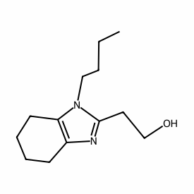 CCCCn1c(CCO)nc2c1CCCC2